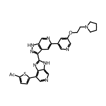 CC(=O)c1ccc(-c2cncc3[nH]c(-c4n[nH]c5cnc(-c6cncc(OCCN7CCCC7)c6)cc45)nc23)s1